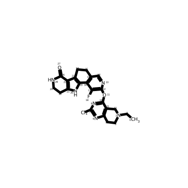 CCN1CCc2nc(Cl)nc(Oc3ncc4c(c3F)-c3[nH]c5c(c3CC4)C(=O)NCC5)c2C1